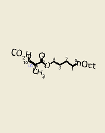 CCCCCCCCCCCCOC(=O)/C(C)=C\C(=O)O